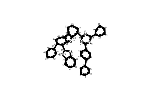 c1ccc(-c2ccc(-c3nc(-c4ccccc4)nc(-c4cccc5c4sc4c(C6Nc7ccccc7O6)c(-c6ccccc6)ccc45)n3)cc2)cc1